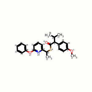 COc1ccc(C(C(=O)SC(C)c2cccc(Oc3ccccc3)n2)C(C)C)cc1